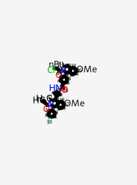 C#CC(=O)N1[C@@H](c2ccc(F)cc2)c2ccc(OC)cc2C(C2CC(NC(=O)c3ccc([C@H]4c5ccc(OC)cc5C[C@H](CCCC)N4C(=O)CCl)cc3)C2)[C@@H]1C